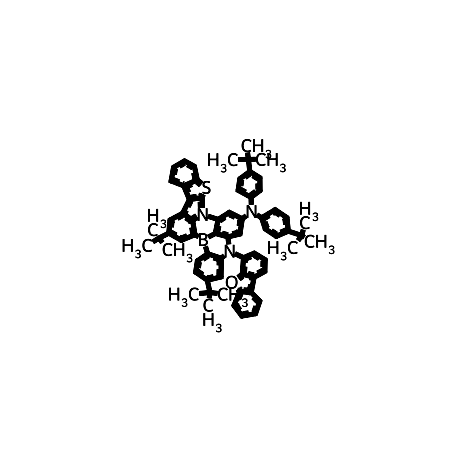 CC(C)(C)c1ccc(N(c2ccc(C(C)(C)C)cc2)c2cc3c4c(c2)-n2c5sc6ccccc6c5c5cc(C(C)(C)C)cc(c52)B4c2ccc(C(C)(C)C)cc2N3c2cccc3c2oc2ccccc23)cc1